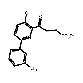 CCOC(=O)CCC(=O)c1nc(-c2cccc(C(F)(F)F)c2)ccc1O